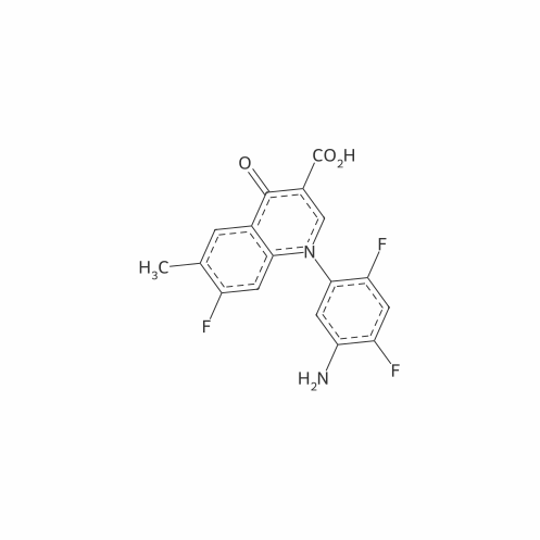 Cc1cc2c(=O)c(C(=O)O)cn(-c3cc(N)c(F)cc3F)c2cc1F